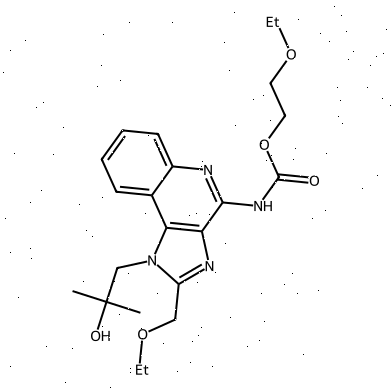 CCOCCOC(=O)Nc1nc2ccccc2c2c1nc(COCC)n2CC(C)(C)O